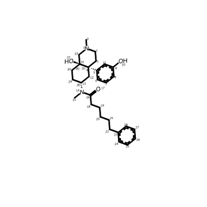 CN1CC[C@@]2(c3cccc(O)c3)C[C@H](N(C)C(=O)CCCCCc3ccccc3)CC[C@]2(O)C1